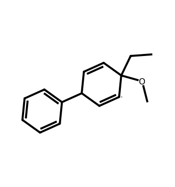 CCC1(OC)[C]=CC(c2ccccc2)C=C1